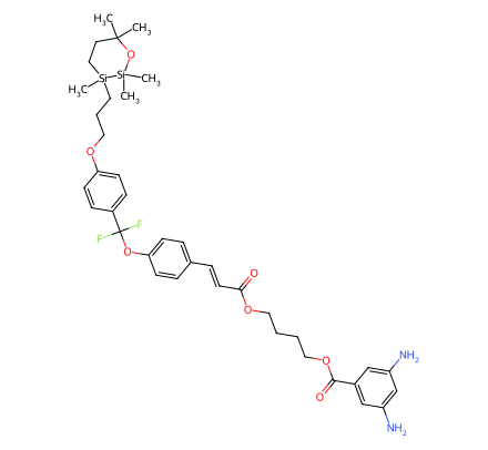 CC1(C)CC[Si](C)(CCCOc2ccc(C(F)(F)Oc3ccc(C=CC(=O)OCCCCOC(=O)c4cc(N)cc(N)c4)cc3)cc2)[Si](C)(C)O1